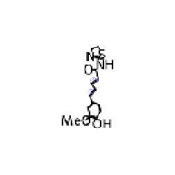 COc1cc(/C=C/C=C/C(=O)NC2=NCCS2)ccc1O